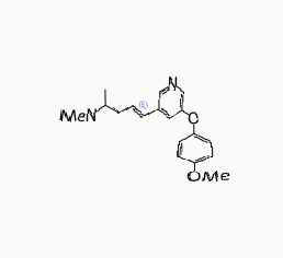 CNC(C)C/C=C/c1cncc(Oc2ccc(OC)cc2)c1